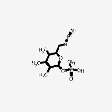 CC1C(CN=[N+]=[N-])OC(OP(=O)(O)O)C(C)C1C